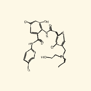 CCN(CCO)Cc1csc(C(=O)Nc2c(O)cc(Cl)cc2C(=O)Nc2ccc(Cl)cn2)c1Cl